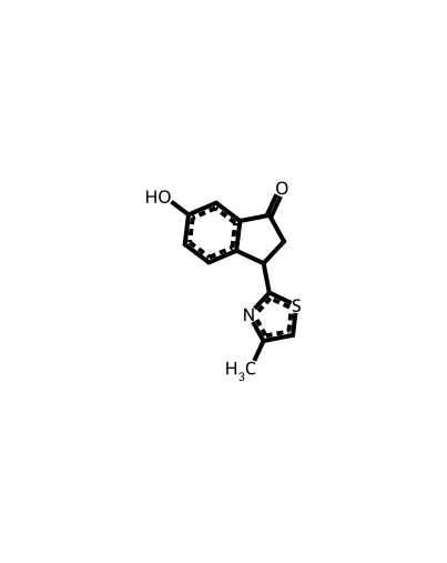 Cc1csc(C2CC(=O)c3cc(O)ccc32)n1